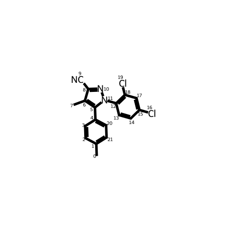 Cc1ccc(-c2c(C)c(C#N)nn2-c2ccc(Cl)cc2Cl)cc1